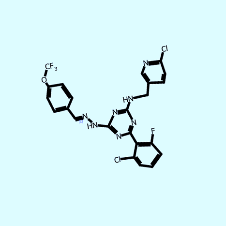 Fc1cccc(Cl)c1-c1nc(NCc2ccc(Cl)nc2)nc(N/N=C/c2ccc(OC(F)(F)F)cc2)n1